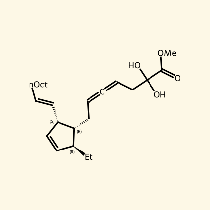 CCCCCCCCC=C[C@H]1C=C[C@H](CC)[C@H]1CC=C=CCC(O)(O)C(=O)OC